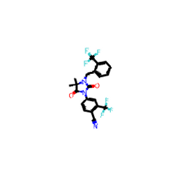 CC1(C)C(=O)N(c2ccc(C#N)c(C(F)(F)F)c2)C(=O)N1Cc1ccccc1C(F)(F)F